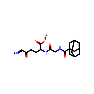 CC(C)OC(=O)C(CCC(=O)C=N)NC(=O)CNC(=O)C12CC3CC(CC(C3)C1)C2